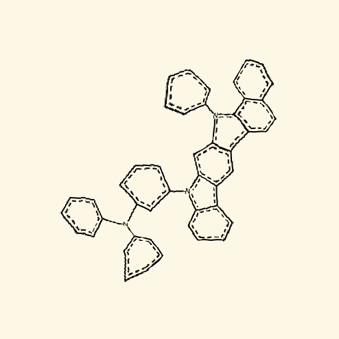 c1ccc(N(c2ccccc2)c2cccc(-n3c4ccccc4c4cc5c6ccc7ccccc7c6n(-c6ccccc6)c5cc43)c2)cc1